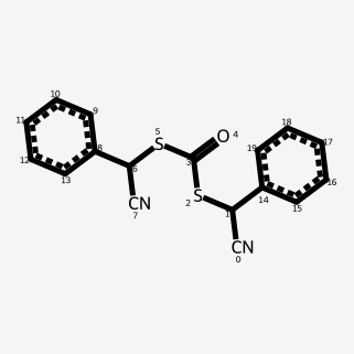 N#CC(SC(=O)SC(C#N)c1ccccc1)c1ccccc1